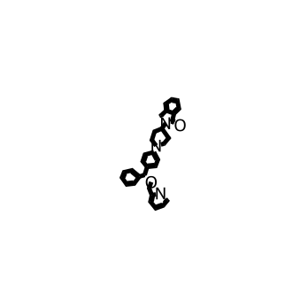 O=C1c2ccccc2CN1C1CCN(c2ccc(C(OCc3ccccn3)c3ccccc3)cc2)CC1